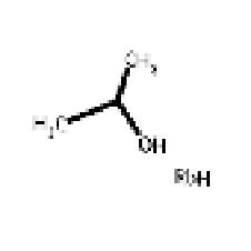 CC(C)O.[RbH]